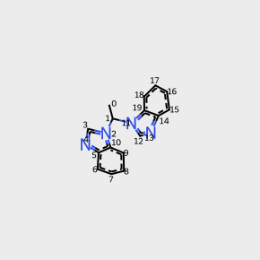 CC(n1cnc2ccccc21)n1cnc2ccccc21